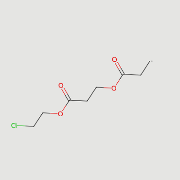 [CH2]CC(=O)OCCC(=O)OCCCl